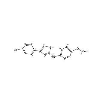 CCCCCOc1ccc(Nc2nc(-c3ccc(F)cc3)cs2)cn1